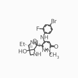 CC[C@H](N)C1(O)CNC1C(=O)c1nn(C)c(=O)cc1Nc1ccc(Br)cc1F